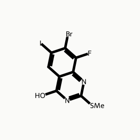 CSc1nc(O)c2cc(I)c(Br)c(F)c2n1